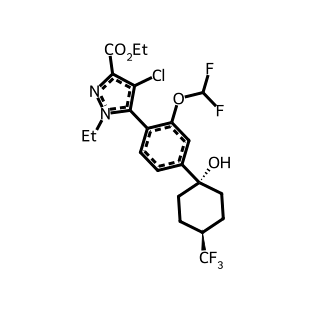 CCOC(=O)c1nn(CC)c(-c2ccc([C@]3(O)CC[C@H](C(F)(F)F)CC3)cc2OC(F)F)c1Cl